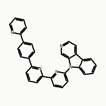 c1ccc(-c2ccc(-c3cccc(-c4cccc(-n5c6ccccc6c6ccncc65)n4)n3)cc2)nc1